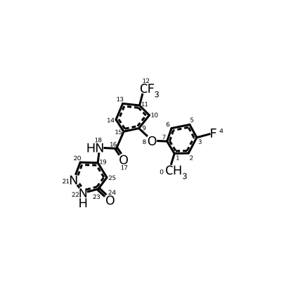 Cc1cc(F)ccc1Oc1cc(C(F)(F)F)ccc1C(=O)Nc1cn[nH]c(=O)c1